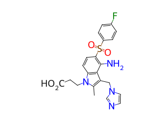 Cc1c(Cn2ccnc2)c2c(N)c(S(=O)(=O)c3ccc(F)cc3)ccc2n1CCC(=O)O